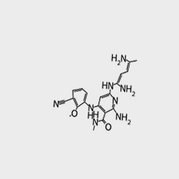 CNC(=O)c1c(Nc2cccc(C#N)c2OC)cc(N/C(N)=C/C=C(/C)N)nc1N